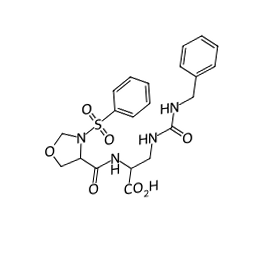 O=C(NCc1ccccc1)NCC(NC(=O)C1COCN1S(=O)(=O)c1ccccc1)C(=O)O